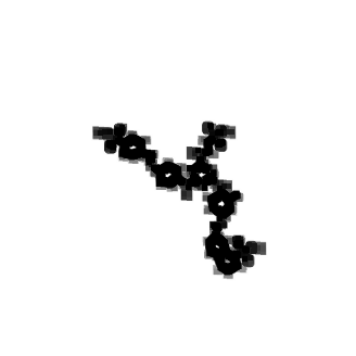 Cc1cc(N=Nc2ccc3cccc(S(=O)(=O)O)c3c2)ccc1Nc1nc(NCCS(=O)(=O)O)nc(Nc2ccc(N=Nc3ccc(S(=O)(=O)O)cc3)cc2)n1